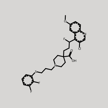 COc1ccc2ncc(Cl)c(C(F)CCC3(C(=O)O)CCN(CCCSc4cccc(F)c4F)CC3)c2c1